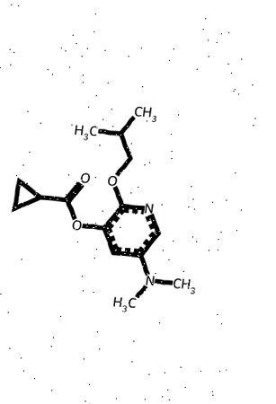 CC(C)COc1ncc(N(C)C)cc1OC(=O)C1CC1